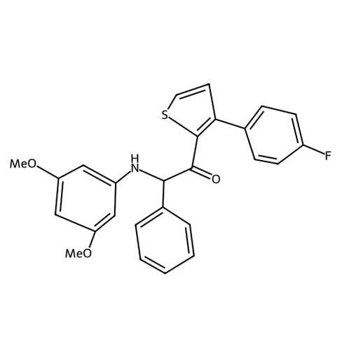 COc1cc(NC(C(=O)c2sccc2-c2ccc(F)cc2)c2ccccc2)cc(OC)c1